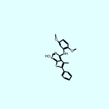 COc1ccc(OC)c(Nc2ncnc3sc(-c4ccccc4)c(C)c23)c1.Cl